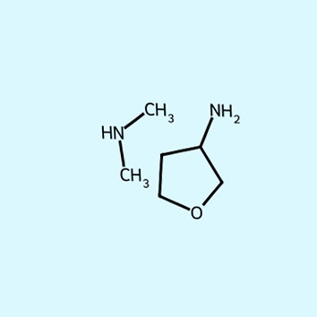 CNC.NC1CCOC1